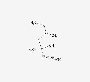 CCC(C)CC(C)(C)N=[N+]=[N-]